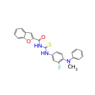 CN(c1ccccc1)c1ccc(NC(=S)NC(=O)c2cc3ccccc3o2)cc1F